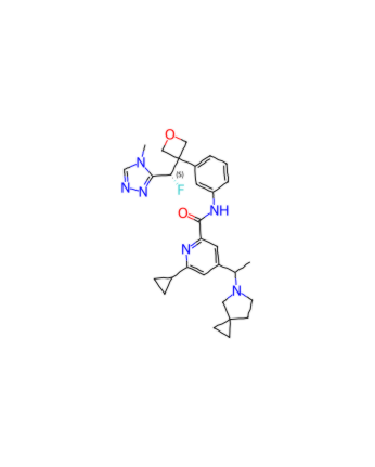 CC(c1cc(C(=O)Nc2cccc(C3([C@H](F)c4nncn4C)COC3)c2)nc(C2CC2)c1)N1CCC2(CC2)C1